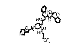 CC(C)(c1cc2cnccc2o1)N1CCN(C[C@@H](O)C[C@@H](Cc2ccccc2)C(=O)N[C@H]2c3ccccc3OC[C@H]2O)[C@H](C(=O)NCCC(F)(F)F)C1